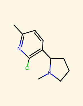 Cc1ccc(C2CCCN2C)c(Cl)n1